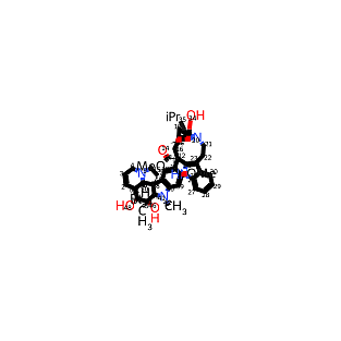 CC[C@]12C=CCN3CC[C@@]4(c5cc([C@@]6(C(=O)OC)CC78CC7N(CCc7c6[nH]c6ccccc76)CC(O)(C(C)C)C8)c(OC)cc5N(C)C4[C@](C)(O)[C@@H]1O)[C@@H]32